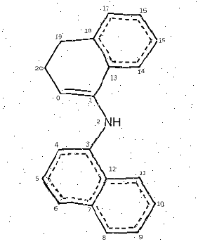 C1=C(Nc2cccc3ccccc23)c2ccccc2CC1